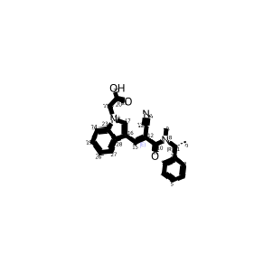 C[C@H](c1ccccc1)N(C)C(=O)/C(C#N)=C/c1cn(CC(=O)O)c2ccccc12